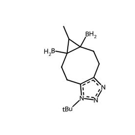 BC12CCc3nnn(C(C)(C)C)c3CCC1(B)C2C